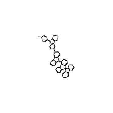 CC1C=CC(n2c3c(c4cc(-c5ccc6c(c5)c5ccccc5n6-c5cccc6c5-c5ccccc5C65C6=C(C=CCC6)c6ccccc65)ccc42)CCC=C3)=CC1